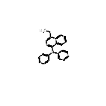 CCc1ccc(N(c2ccccc2)c2ccccc2)c2ccccc12